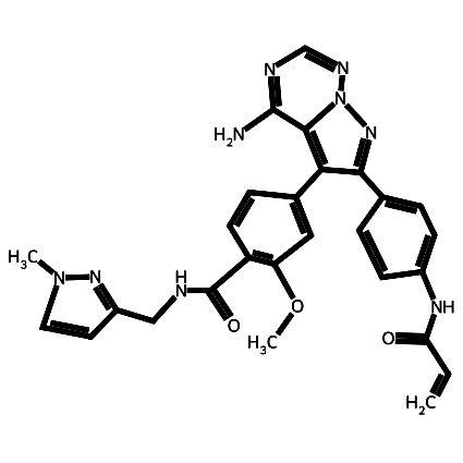 C=CC(=O)Nc1ccc(-c2nn3ncnc(N)c3c2-c2ccc(C(=O)NCc3ccn(C)n3)c(OC)c2)cc1